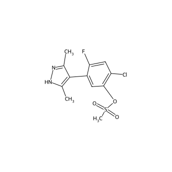 Cc1n[nH]c(C)c1-c1cc(OS(C)(=O)=O)c(Cl)cc1F